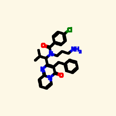 CC(C)C(c1nc2ccccn2c(=O)c1Cc1ccccc1)N(CCCN)C(=O)c1ccc(Cl)cc1